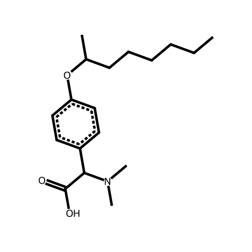 CCCCCCC(C)Oc1ccc(C(C(=O)O)N(C)C)cc1